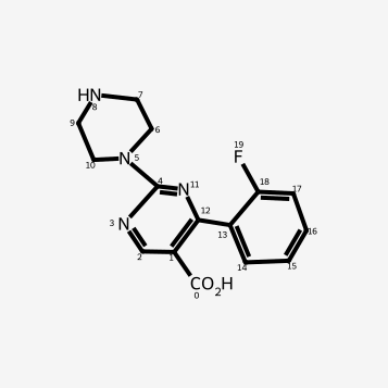 O=C(O)c1cnc(N2CCNCC2)nc1-c1ccccc1F